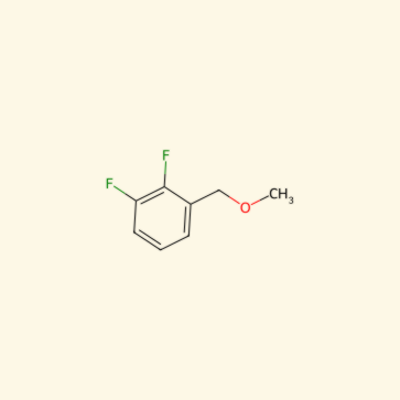 COCc1cccc(F)c1F